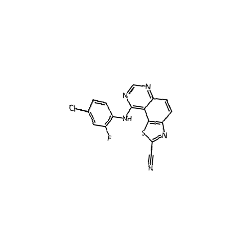 N#Cc1nc2ccc3ncnc(Nc4ccc(Cl)cc4F)c3c2s1